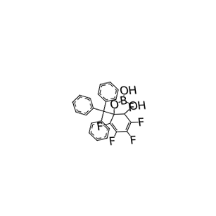 OB(O)OC1(C(c2ccccc2)(c2ccccc2)c2ccccc2)C(F)=C(F)C(F)=C(F)C1F